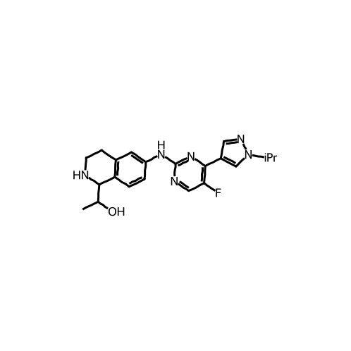 CC(O)C1NCCc2cc(Nc3ncc(F)c(-c4cnn(C(C)C)c4)n3)ccc21